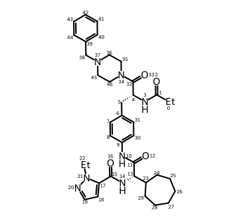 CCC(=O)N[C@H](Cc1ccc(NC(=O)[C@@H](NC(=O)c2ccnn2CC)C2CCCCCC2)cc1)C(=O)N1CCN(Cc2ccccc2)CC1